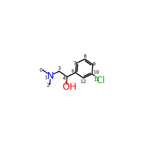 CN(C)CC(O)c1cccc(Cl)c1